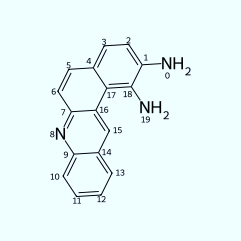 Nc1ccc2ccc3nc4ccccc4cc3c2c1N